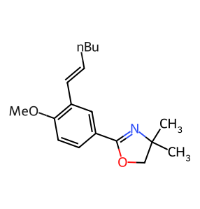 CCCC/C=C/c1cc(C2=NC(C)(C)CO2)ccc1OC